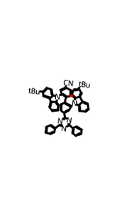 CC(C)(C)c1ccc2c(c1)c1ccccc1n2-c1cc(C#N)ccc1-c1ccc(-c2nc(-c3ccccc3)nc(-c3ccccc3)n2)cc1-n1c2ccccc2c2cc(C(C)(C)C)ccc21